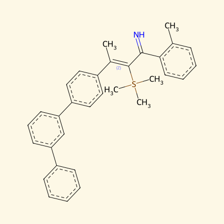 C/C(=C(\C(=N)c1ccccc1C)S(C)(C)C)c1ccc(-c2cccc(-c3ccccc3)c2)cc1